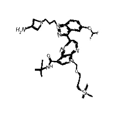 CC(C)(C)NC(=O)c1cn(COCC[Si](C)(C)C)c2ncc(-c3nn(CCCN4CC(N)C4)c4ccc(OC(F)F)cc34)nc12